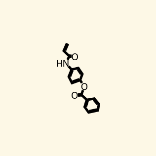 C=CC(=O)Nc1ccc(OC(=O)c2ccccc2)cc1